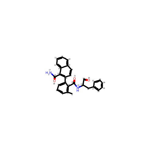 Cc1cccc(-c2ccc3ccccc3c2C(N)=O)c1C(=O)NC(C=O)Cc1ccccc1